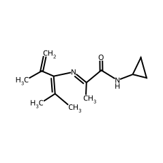 C=C(C)C(/N=C(\C)C(=O)NC1CC1)=C(C)C